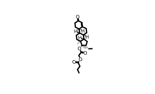 CCCC(=O)OCC(=O)O[C@H]1[C@@H](CC)C[C@H]2[C@@H]3CCC4=CC(=O)CC[C@@H]4[C@H]3CC[C@@]21C